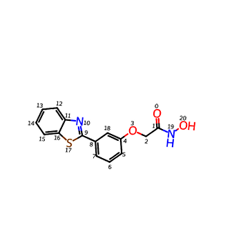 O=C(COc1cccc(-c2nc3ccccc3s2)c1)NO